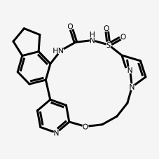 O=C1Nc2c(ccc3c2CCC3)-c2ccnc(c2)OCCCn2ccc(n2)S(=O)(=O)N1